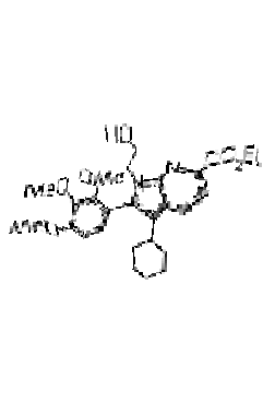 CCOC(=O)c1ccc2c(C3CCCCC3)c(-c3ccc(OC)c(OC)c3OC)n(CCO)c2n1